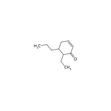 CCCC1CC=CC(=O)C1CC